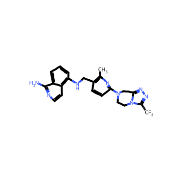 Cc1nc(N2CCn3c(nnc3C(F)(F)F)C2)ccc1CNc1cccc2c(N)nccc12